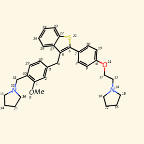 COc1cc(Cc2c(-c3ccc(OCCN4CCCC4)cc3)sc3ccccc23)ccc1CN1CCCC1